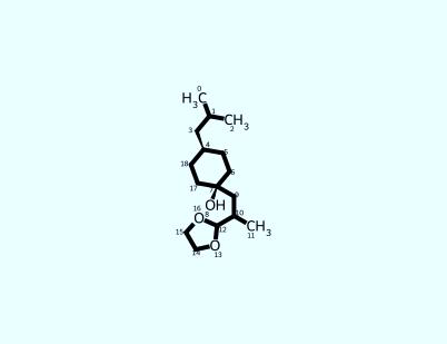 CC(C)C[C@H]1CC[C@](O)(CC(C)C2OCCO2)CC1